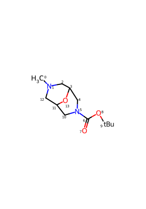 CN1CC2CN(C(=O)OC(C)(C)C)CC(C1)O2